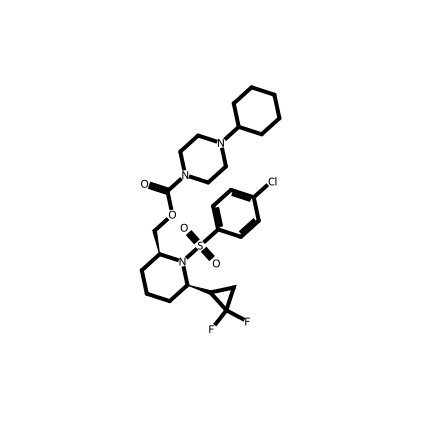 O=C(OC[C@@H]1CCC[C@H](C2CC2(F)F)N1S(=O)(=O)c1ccc(Cl)cc1)N1CCN(C2CCCCC2)CC1